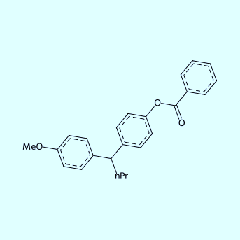 CCCC(c1ccc(OC)cc1)c1ccc(OC(=O)c2ccccc2)cc1